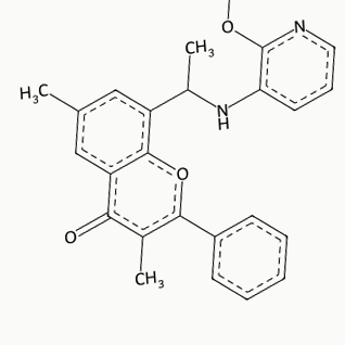 COc1ncccc1NC(C)c1cc(C)cc2c(=O)c(C)c(-c3ccccc3)oc12